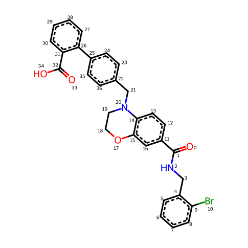 O=C(NCc1ccccc1Br)c1ccc2c(c1)OCCN2Cc1ccc(-c2ccccc2C(=O)O)cc1